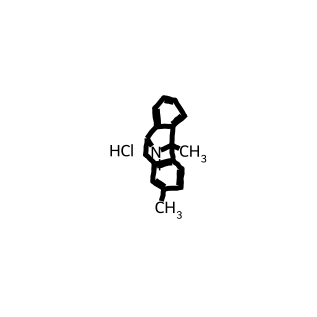 Cc1ccc2c(c1)CC1NC2(C)c2ccccc21.Cl